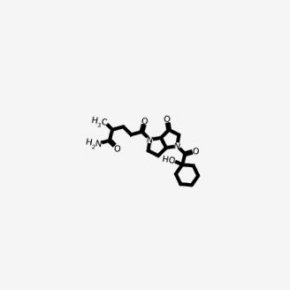 CC(C[CH]C(=O)N1CCC2C1C(=O)CN2C(=O)C1(O)CCCCC1)C(N)=O